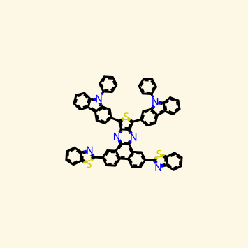 c1ccc(-n2c3ccccc3c3ccc(-c4sc(-c5ccc6c7ccccc7n(-c7ccccc7)c6c5)c5nc6c7cc(-c8nc9ccccc9s8)ccc7c7ccc(-c8nc9ccccc9s8)cc7c6nc45)cc32)cc1